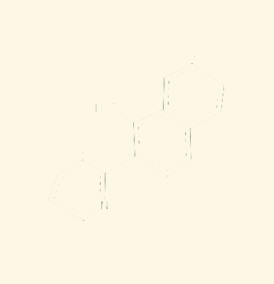 Cc1c(-c2ccccn2)ccc2ccccc12